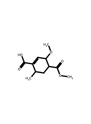 COC(=O)C1CC(C)C(C(=O)O)=CC1OC